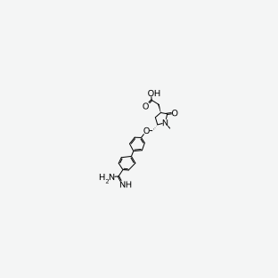 CN1C(=O)[C@H](CC(=O)O)C[C@H]1COc1ccc(-c2ccc(C(=N)N)cc2)cc1